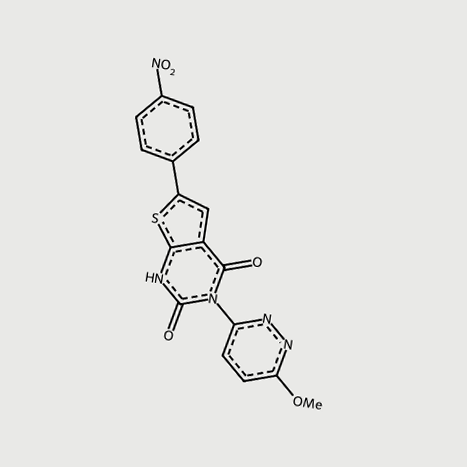 COc1ccc(-n2c(=O)[nH]c3sc(-c4ccc([N+](=O)[O-])cc4)cc3c2=O)nn1